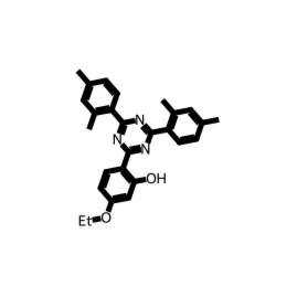 CCOc1ccc(-c2nc(-c3ccc(C)cc3C)nc(-c3ccc(C)cc3C)n2)c(O)c1